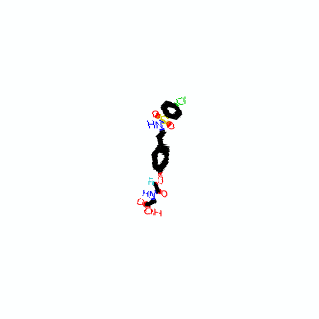 O=C(O)CNC(=O)C(F)Oc1ccc(CCNS(=O)(=O)c2ccc(Cl)cc2)cc1